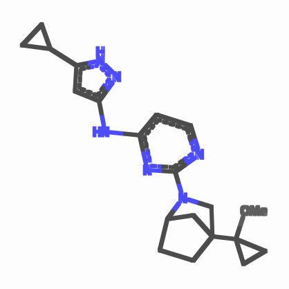 COC1(C23CCC(C2)N(c2nccc(Nc4cc(C5CC5)[nH]n4)n2)C3)CC1